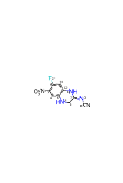 N#CN=C1CNc2cc([N+](=O)[O-])c(F)cc2N1